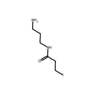 NCCCNC(=O)CCI